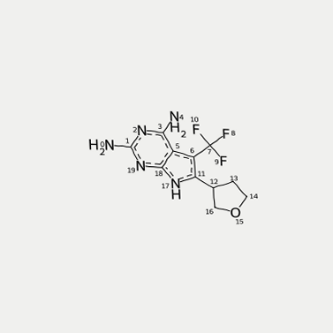 Nc1nc(N)c2c(C(F)(F)F)c(C3CCOC3)[nH]c2n1